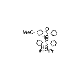 CC(C)OC(C)C.COC.O=C(c1ccccc1)C(O)c1ccccc1.O=C(c1ccccc1)C(O)c1ccccc1